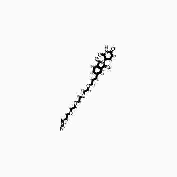 [N-]=[N+]=NCCOCCOCCOCCOCCCc1ccc2c(c1)C(=O)N(C1CCC(=O)NC1=O)C2=O